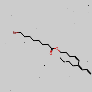 C=C/C=C(\C=C/CCCOC(=O)CCCCCCCBr)CCCC